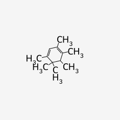 CC1=CC(C)=C(C)C(C)C1(C)C